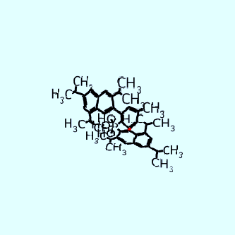 Cc1ccc(P(O)(O)(O)c2cc3c(C(C)C)cc(C(C)C)cc3cc2C(C)C)c(-c2cc3c(C(C)C)cc(C(C)C)cc3cc2C(C)C)c1